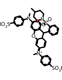 CC1CCN(S(=O)(=O)c2ccccc2C2c3ccc(N(C)c4ccc(S(=O)(=O)O)cc4)cc3OC3=C/C(=[N+](\C)c4ccc(S(=O)(=O)O)cc4)C=CC32)CC1